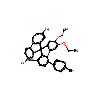 CCC(C)COc1cc2c(cc1OCC(C)CC)C1(c3cc(Br)ccc3-c3ccc(Br)cc31)c1c(C(C)(C)C)ccc(-c3ccc(C(C)(C)C)cc3)c1-2